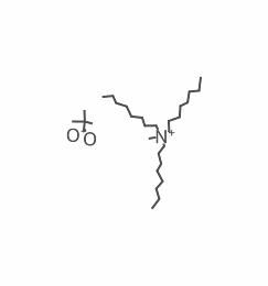 CC(C)(C)C(=O)[O-].CCCCCCCC[N+](C)(CCCCCCCC)CCCCCCCC